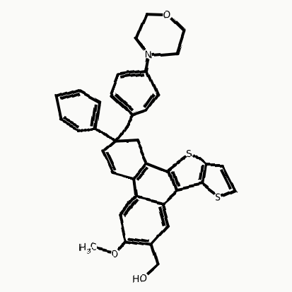 COc1cc2c3c(c4sc5ccsc5c4c2cc1CO)CC(c1ccccc1)(c1ccc(N2CCOCC2)cc1)C=C3